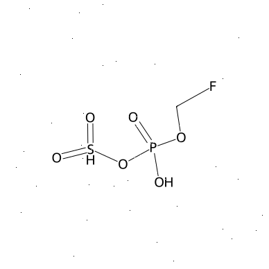 O=[SH](=O)OP(=O)(O)OCF